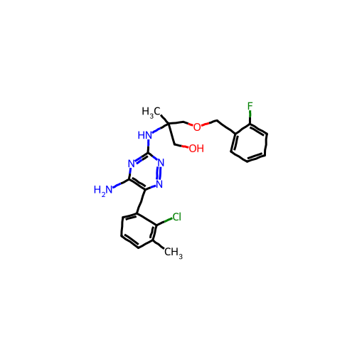 Cc1cccc(-c2nnc(NC(C)(CO)COCc3ccccc3F)nc2N)c1Cl